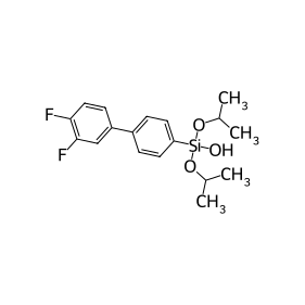 CC(C)O[Si](O)(OC(C)C)c1ccc(-c2ccc(F)c(F)c2)cc1